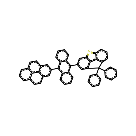 c1ccc(C2(c3ccccc3)c3cccc4sc5cc(-c6c7ccccc7c(-c7cc8ccc9cccc%10ccc(c7)c8c9%10)c7ccccc67)cc2c5c34)cc1